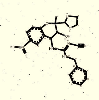 CC1(C2OCCO2)Oc2ccc([N+](=O)[O-])cc2C(NC(=NC#N)NCc2ccccc2)C1O